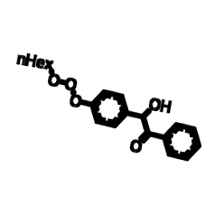 CCCCCCOOOc1ccc(C(O)C(=O)c2ccccc2)cc1